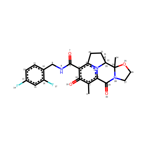 Cc1c2n3c(c(C(=O)NCc4ccc(F)cc4F)c1=O)CC[C@H]3C1(C)OCCN1C2=O